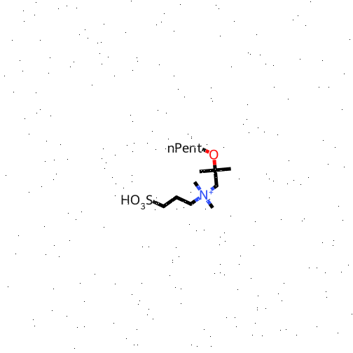 CCCCCOC(C)(C)C[N+](C)(C)CCCS(=O)(=O)O